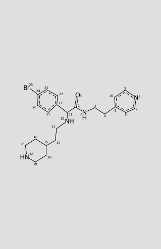 O=C(NCCc1ccncc1)C(NCCC1CCNCC1)c1ccc(Br)cc1